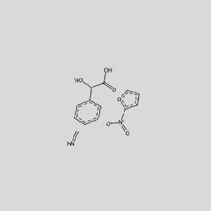 C=N.O=C(O)C(O)c1ccccc1.O=[N+]([O-])c1ccco1